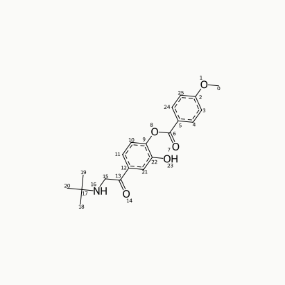 COc1ccc(C(=O)Oc2ccc(C(=O)CNC(C)(C)C)cc2O)cc1